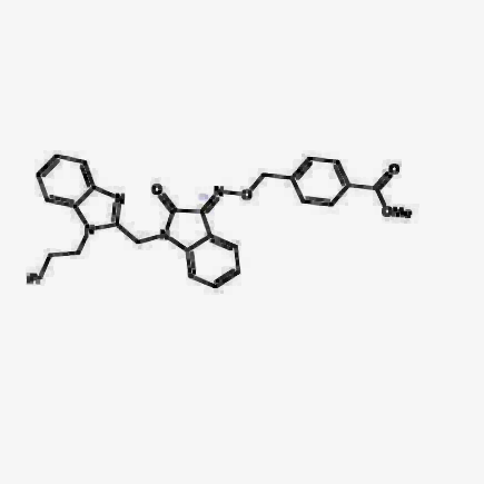 COC(=O)c1ccc(CO/N=C2/C(=O)N(Cc3nc4ccccc4n3CCC(C)C)c3ccccc32)cc1